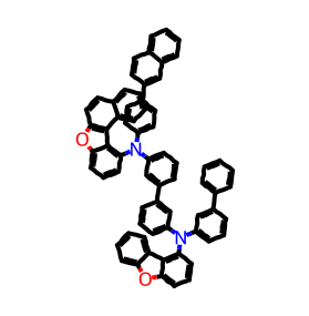 c1ccc(-c2cccc(N(c3cccc(-c4cccc(N(c5ccc(-c6ccc7ccccc7c6)cc5)c5cccc6oc7ccc8ccccc8c7c56)c4)c3)c3cccc4oc5ccccc5c34)c2)cc1